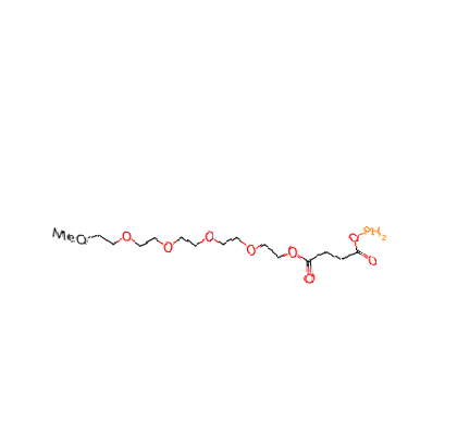 COCCOCCOCCOCCOCCOC(=O)CCC(=O)OP